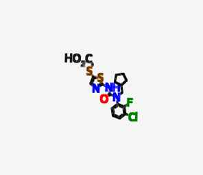 O=C(O)CSc1cnc(NC(=O)N(CC2CCCC2)c2cccc(Cl)c2F)s1